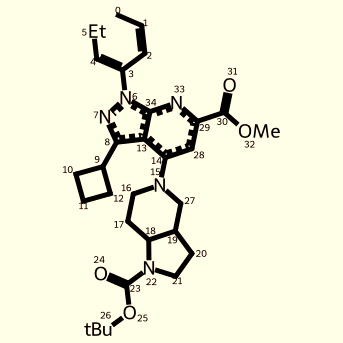 C/C=C\C(=C/CC)n1nc(C2CCC2)c2c(N3CCC4C(CCN4C(=O)OC(C)(C)C)C3)cc(C(=O)OC)nc21